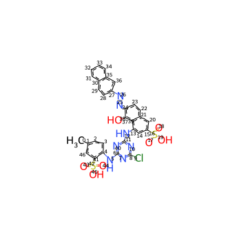 Cc1ccc(Nc2nc(Cl)nc(Nc3cc(S(=O)(=O)O)cc4ccc(N=Nc5ccc6ccccc6c5)c(O)c34)n2)c(S(=O)(=O)O)c1